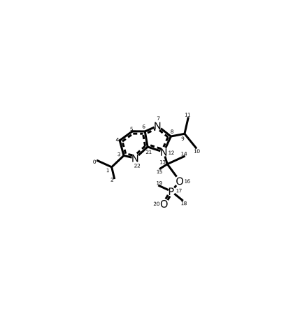 CC(C)c1ccc2nc(C(C)C)n(C(C)(C)OP(C)(C)=O)c2n1